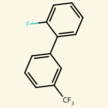 Fc1c[c]ccc1-c1cccc(C(F)(F)F)c1